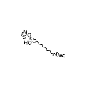 CCCCCCCCCCCCCCCCCCOC[C@H](CO)Oc1nccs1